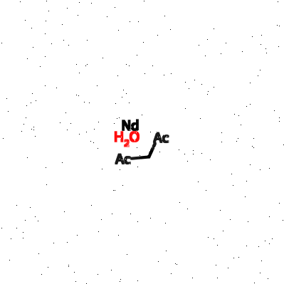 CC(=O)CC(C)=O.O.[Nd]